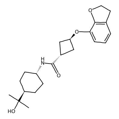 CC(C)(O)[C@H]1CC[C@H](NC(=O)[C@H]2C[C@H](Oc3cccc4c3OCC4)C2)CC1